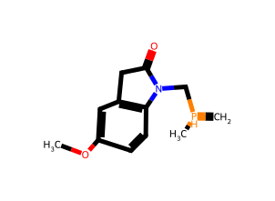 C=[PH](C)CN1C(=O)Cc2cc(OC)ccc21